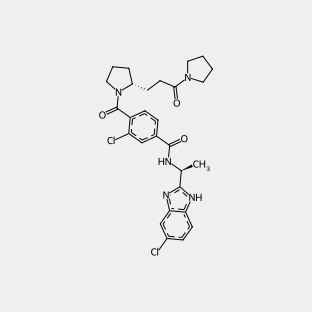 C[C@H](NC(=O)c1ccc(C(=O)N2CCC[C@@H]2CCC(=O)N2CCCC2)c(Cl)c1)c1nc2cc(Cl)ccc2[nH]1